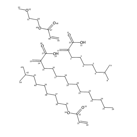 C=C(CCCCCC(C)C)C(=O)O.C=C(CCCCCCCCCCCC)C(=O)O.C=CC(=O)OCCCCCCCC(C)C.C=CC(=O)OCCOC